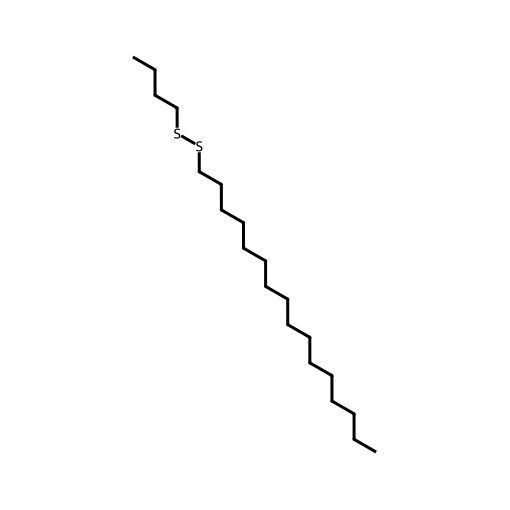 CCCCCCCCCCCCCCCCSSCCCC